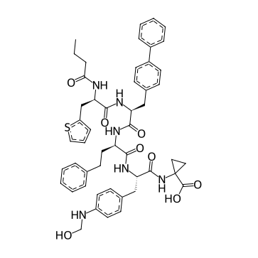 CCCC(=O)N[C@H](Cc1cccs1)C(=O)N[C@@H](Cc1ccc(-c2ccccc2)cc1)C(=O)N[C@H](CCc1ccccc1)C(=O)N[C@@H](Cc1ccc(NCO)cc1)C(=O)NC1(C(=O)O)CC1